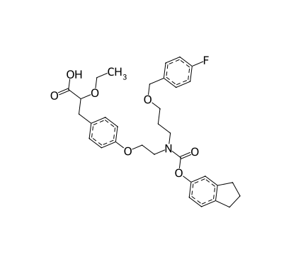 CCOC(Cc1ccc(OCCN(CCCOCc2ccc(F)cc2)C(=O)Oc2ccc3c(c2)CCC3)cc1)C(=O)O